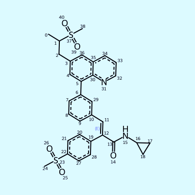 CC(Cc1cc(-c2cccc(/C=C(/C(=O)NC3CC3)c3ccc(S(C)(=O)=O)cc3)c2)c2ncccc2c1)S(C)(=O)=O